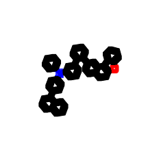 c1ccc(N(c2ccc(-c3cccc4ccccc34)cc2)c2cccc(-c3ccccc3-c3ccc4ccc5oc6ccccc6c5c4c3)c2)cc1